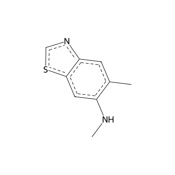 CNc1cc2scnc2cc1C